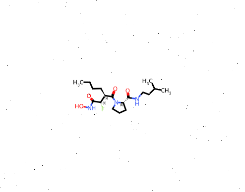 CCCC[C@@H](C(=O)N1CCC[C@H]1C(=O)NCCC(C)C)[C@H](F)C(=O)NO